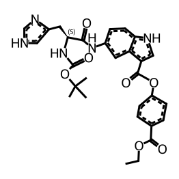 CCOC(=O)c1ccc(OC(=O)c2c[nH]c3ccc(NC(=O)[C@H](Cc4c[nH]cn4)NC(=O)OC(C)(C)C)cc23)cc1